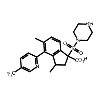 Cc1ccc2c(c1-c1ccc(C(F)(F)F)cn1)C(C)CC2(C(=O)O)S(=O)(=O)N1CCNCC1